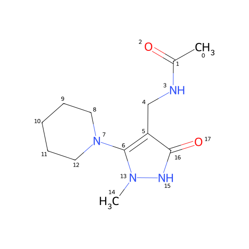 CC(=O)NCc1c(N2CCCCC2)n(C)[nH]c1=O